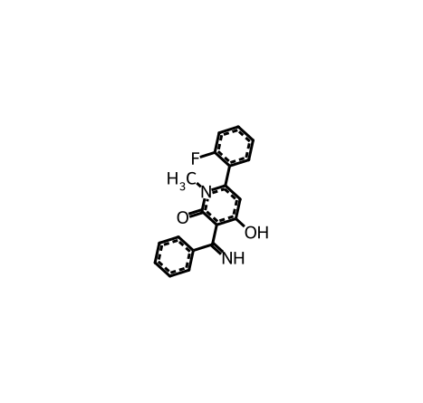 Cn1c(-c2ccccc2F)cc(O)c(C(=N)c2ccccc2)c1=O